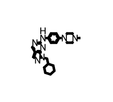 CN1CCN(c2ccc(Nc3ncc4cnn(CC5CCCCC5)c4n3)cc2)CC1